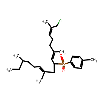 CCC(C)CCC=C(C)CC(C=C(C)CCC=C(C)CCl)S(=O)(=O)c1ccc(C)cc1